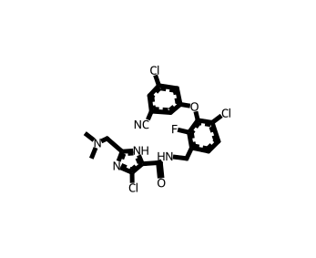 CN(C)Cc1nc(Cl)c(C(=O)NCc2ccc(Cl)c(Oc3cc(Cl)cc(C#N)c3)c2F)[nH]1